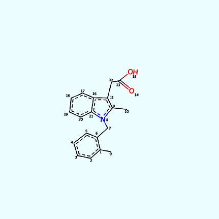 Cc1ccccc1Cn1c(C)c(CC(=O)O)c2ccccc21